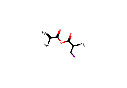 C=C(C)C(=O)OC(=O)C(C)CI